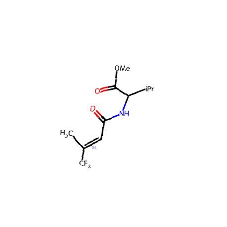 COC(=O)C(NC(=O)/C=C(\C)C(F)(F)F)C(C)C